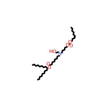 CCCCC/C=C\CCOC(=O)OCCCCCN(CCO)CCCCCCCC(=O)OC(CCCCCCCC)CCCCCCCC